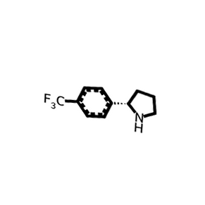 FC(F)(F)c1ccc([C@@H]2CCCN2)cc1